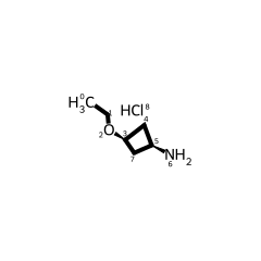 CCO[C@H]1C[C@@H](N)C1.Cl